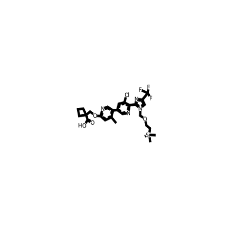 Cc1cc(OCC2(C(=O)O)CCC2)ncc1-c1cnc(-c2nc(C(F)(F)F)cn2COCC[Si](C)(C)C)c(Cl)c1